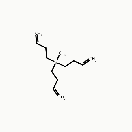 C=CCC[Si](C)(CCC=C)CCC=C